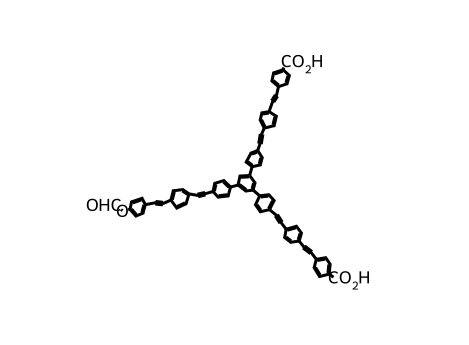 O=COc1ccc(C#Cc2ccc(C#Cc3ccc(-c4cc(-c5ccc(C#Cc6ccc(C#Cc7ccc(C(=O)O)cc7)cc6)cc5)cc(-c5ccc(C#Cc6ccc(C#Cc7ccc(C(=O)O)cc7)cc6)cc5)c4)cc3)cc2)cc1